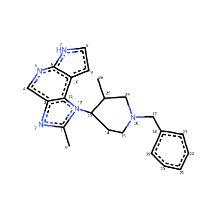 Cc1nc2cnc3[nH]ccc3c2n1C1CCN(Cc2ccccc2)CC1C